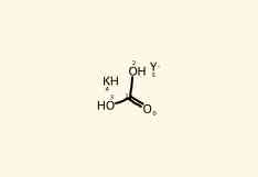 O=C(O)O.[KH].[Y]